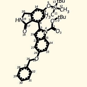 CC(C)(C)OC(=O)n1c(-c2cc(O[Si](C)(C)C(C)(C)C)cc3c2C(=O)NC3)cc2cc(OCc3ccccc3)ccc21